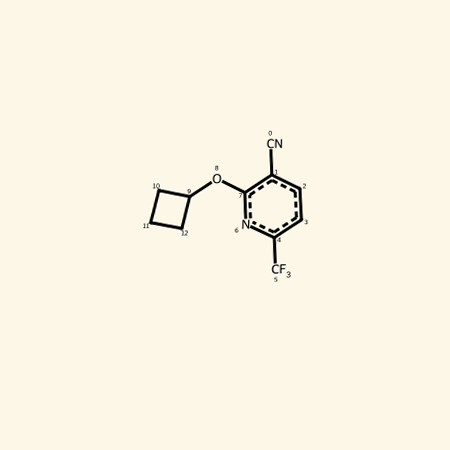 N#Cc1ccc(C(F)(F)F)nc1OC1CCC1